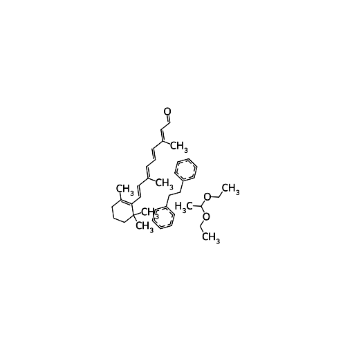 CC1=C(/C=C/C(C)=C/C=C/C(C)=C/C=O)C(C)(C)CCC1.CCOC(C)OCC.c1ccc(CCc2ccccc2)cc1